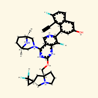 C#Cc1c(F)ccc2cc(O)cc(-c3ncc4c(N5C[C@H]6CC[C@@H](C5)N6)nc(OC[C@@]56CCCN5C[C@@]5(CC5(F)F)C6)nc4c3F)c12